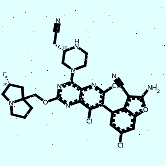 Cc1nc2c(N3CCN[C@@H](CC#N)C3)nc(OCC34CCCN3C[C@H](F)C4)nc2c(Cl)c1-c1cc(Cl)cc2oc(N)c(C#N)c12